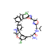 CC(C)[C@@H]1NC(=O)[C@@H](N)Cc2cc(Br)c3c(c2)C2c4cccc(c4N[C@H]2O3)-c2cccc3c2C(=C(Cl)C3)c2oc(nc2Cl)-c2coc1n2